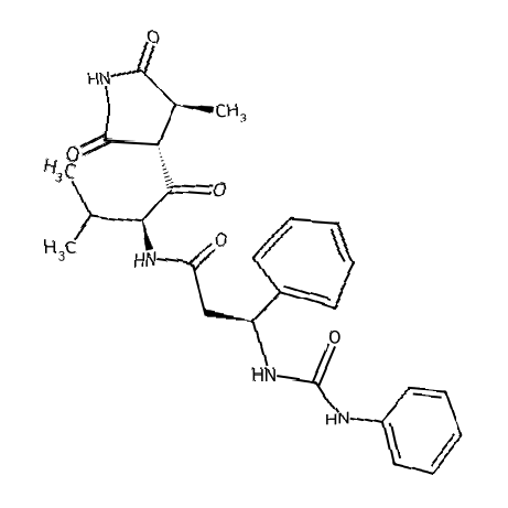 CC(C)[C@H](NC(=O)C[C@H](NC(=O)Nc1ccccc1)c1ccccc1)C(=O)[C@@H]1C(=O)NC(=O)[C@H]1C